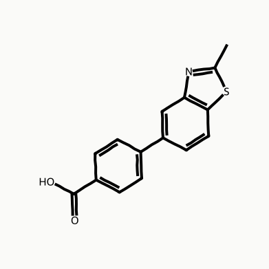 Cc1nc2cc(-c3ccc(C(=O)O)cc3)ccc2s1